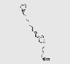 CCCCCCCCCCCCCC[C@H]1CO[C@H](COCCCCCCC[n+]2ccsc2)C1